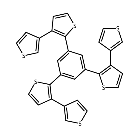 c1cc(-c2ccsc2-c2cc(-c3sccc3-c3ccsc3)cc(-c3sccc3-c3ccsc3)c2)cs1